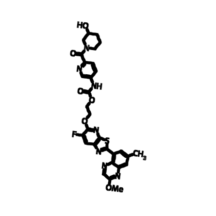 COc1cnc2c(-c3nc4cc(F)c(OCCOC(=O)Nc5ccc(C(=O)N6CCCC(O)C6)nc5)nc4s3)cc(C)cc2n1